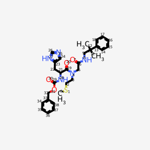 CSCCN(CC(=O)NCC(C)(C)c1ccccc1)C(=O)C(Cc1cnc[nH]1)NC(=O)OCc1ccccc1